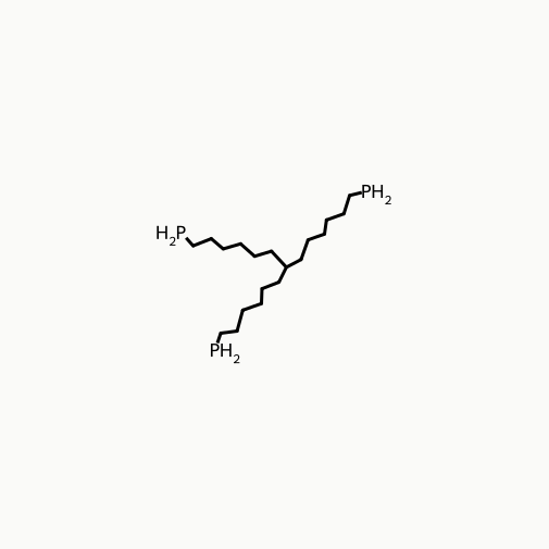 PCCCCCCC(CCCCCCP)CCCCCCP